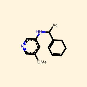 COc1cncc(NC(C(C)=O)C2=CC=CCC2)c1